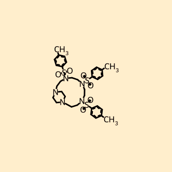 Cc1ccc(S(=O)(=O)N2CCN3CCN(CC3)CCN(S(=O)(=O)c3ccc(C)cc3)CCN(S(=O)(=O)c3ccc(C)cc3)CC2)cc1